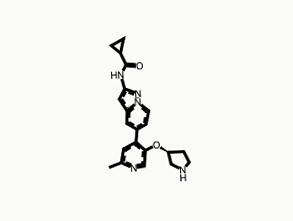 Cc1cc(-c2ccn3nc(NC(=O)C4CC4)cc3c2)c(O[C@H]2CCNC2)cn1